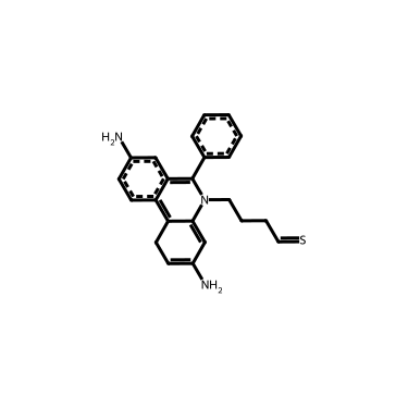 NC1=CCC2=c3ccc(N)cc3=C(c3ccccc3)N(CCCC=S)C2=C1